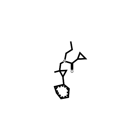 CCCN(CC1(C)CC1c1ccccc1)C(=O)C1CC1